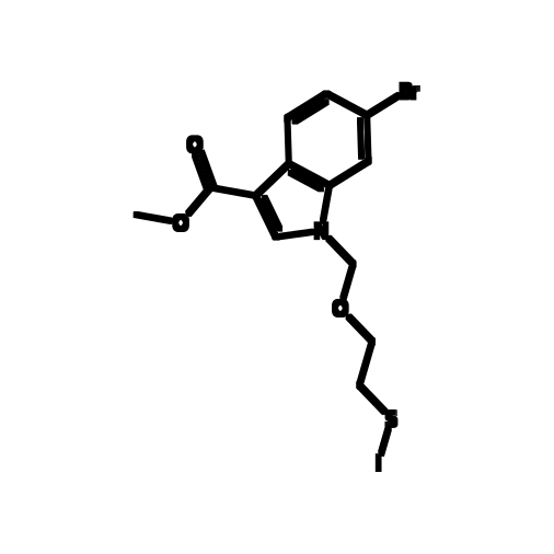 COC(=O)c1cn(COCCSI)c2cc(Br)ccc12